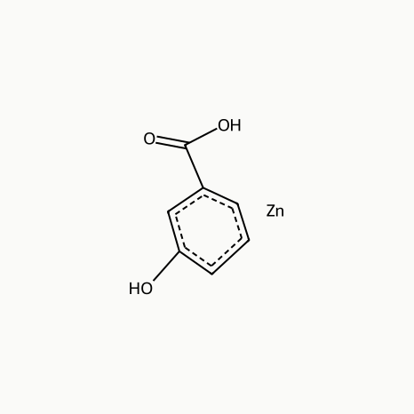 O=C(O)c1cccc(O)c1.[Zn]